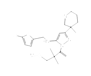 COCC(C)(C)C(=O)n1nc(C2(C)CCCNC2)cc1NCc1ccc(Cl)s1